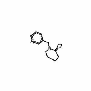 O=C1CCCCN1Cc1cccnc1